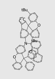 CC(C)(C)c1ccc2c(c1)C1(c3cc(C(C)(C)C)ccc3O2)c2ccccc2-c2ccc(N(c3ccc4c(c3)C(c3ccccc3)(c3ccccc3)c3ccccc3O4)c3cccc4c3oc3ccccc34)cc21